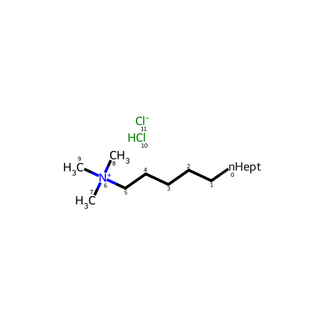 CCCCCCCCCCCC[N+](C)(C)C.Cl.[Cl-]